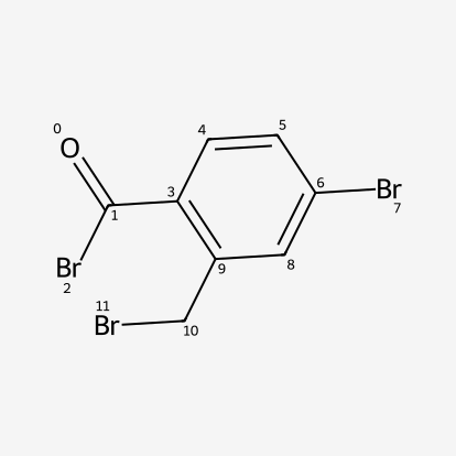 O=C(Br)c1ccc(Br)cc1CBr